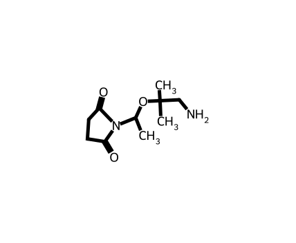 CC(OC(C)(C)CN)N1C(=O)CCC1=O